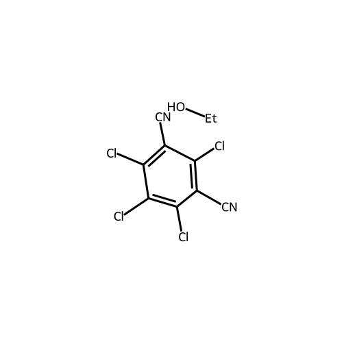 CCO.N#Cc1c(Cl)c(Cl)c(Cl)c(C#N)c1Cl